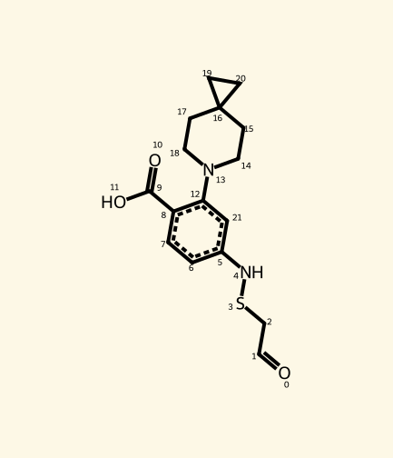 O=CCSNc1ccc(C(=O)O)c(N2CCC3(CC2)CC3)c1